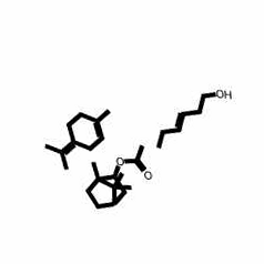 CC(=O)OC1CC2CCC1(C)C2(C)C.CC1=CCC(=C(C)C)CC1.CCC=CCCO